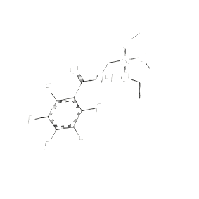 CCO[Si](CNC(=O)c1c(F)c(F)c(F)c(F)c1F)(OC)OC